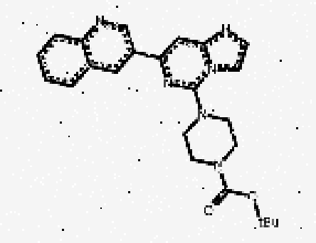 CC(C)(C)OC(=O)N1CCN(c2nc(-c3cnc4ccccc4c3)cc3nccn23)CC1